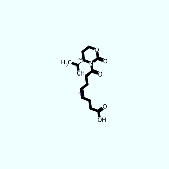 CC(C)[C@@H]1CCOC(=O)N1C(=O)CC/C=C\CCC(=O)O